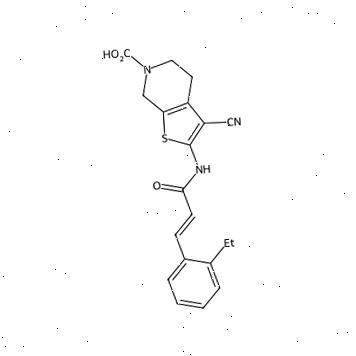 CCc1ccccc1C=CC(=O)Nc1sc2c(c1C#N)CCN(C(=O)O)C2